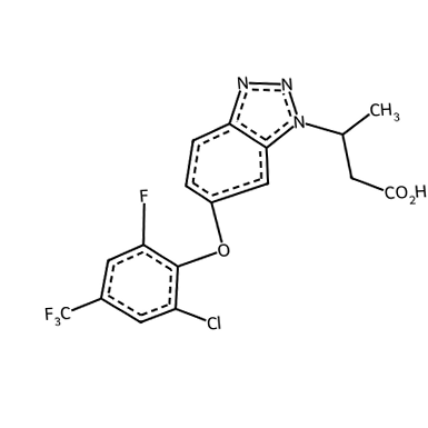 CC(CC(=O)O)n1nnc2ccc(Oc3c(F)cc(C(F)(F)F)cc3Cl)cc21